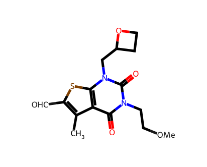 COCCn1c(=O)c2c(C)c(C=O)sc2n(CC2CCO2)c1=O